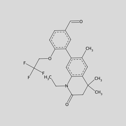 CCN1C(=O)CC(C)(C)c2cc(C)c(-c3cc(C=O)ccc3OCC(F)(F)F)cc21